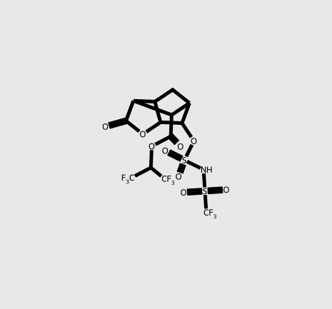 O=C1OC2C3CC(C2OS(=O)(=O)NS(=O)(=O)C(F)(F)F)C(C(=O)OC(C(F)(F)F)C(F)(F)F)C13